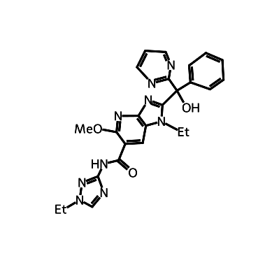 CCn1cnc(NC(=O)c2cc3c(nc2OC)nc(C(O)(c2ccccc2)c2ncccn2)n3CC)n1